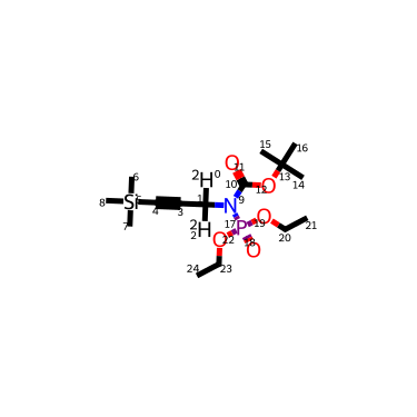 [2H]C([2H])(C#C[Si](C)(C)C)N(C(=O)OC(C)(C)C)P(=O)(OCC)OCC